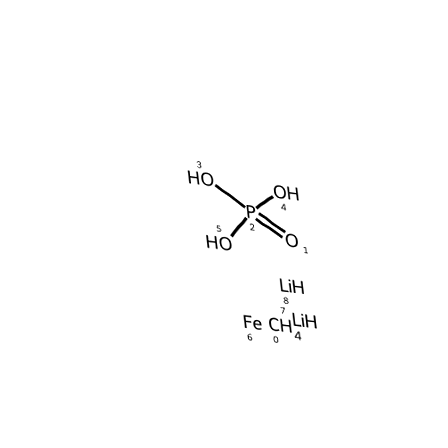 C.O=P(O)(O)O.[Fe].[LiH].[LiH]